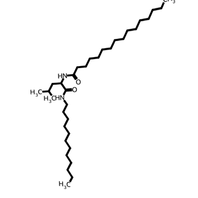 CCCCCCCCCCCCCCCC(=O)NC(CC(C)C)C(=O)NCCCCCCCCCCCC